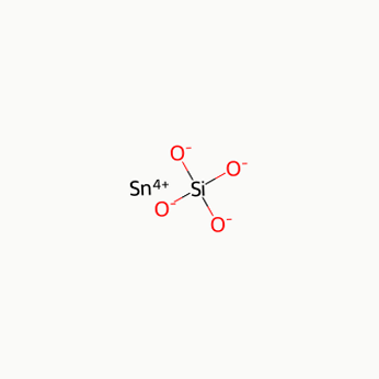 [O-][Si]([O-])([O-])[O-].[Sn+4]